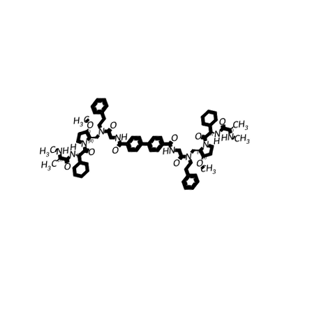 CN[C@@H](C)C(=O)N[C@H](C(=O)N1CC[C@H](OC)[C@H]1CN(CCc1ccccc1)C(=O)CNC(=O)c1ccc(-c2ccc(C(=O)NCC(=O)N(CCc3ccccc3)C[C@@H]3[C@@H](OC)CCN3C(=O)[C@@H](NC(=O)[C@H](C)NC)C3CCCCC3)cc2)cc1)C1CCCCC1